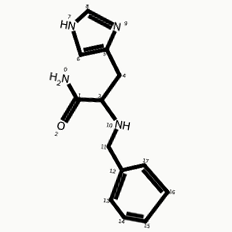 NC(=O)C(Cc1c[nH]cn1)NCc1ccccc1